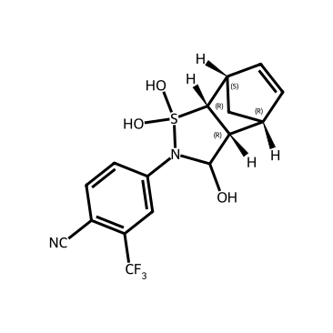 N#Cc1ccc(N2C(O)[C@@H]3[C@@H]([C@@H]4C=C[C@H]3C4)S2(O)O)cc1C(F)(F)F